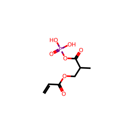 C=CC(=O)OCC(C)C(=O)OP(=O)(O)O